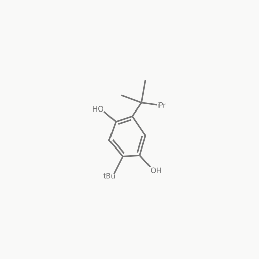 CC(C)C(C)(C)c1cc(O)c(C(C)(C)C)cc1O